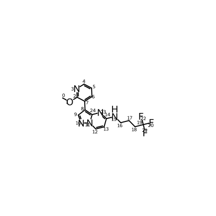 COc1ncccc1-c1cnn2ccc(NCCCC(F)(F)F)nc12